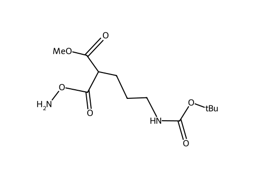 COC(=O)C(CCCNC(=O)OC(C)(C)C)C(=O)ON